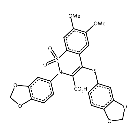 COc1cc2c(cc1OC)S(=O)(=O)N(c1ccc3c(c1)OCO3)C(C(=O)O)=C2Sc1ccc2c(c1)OCO2